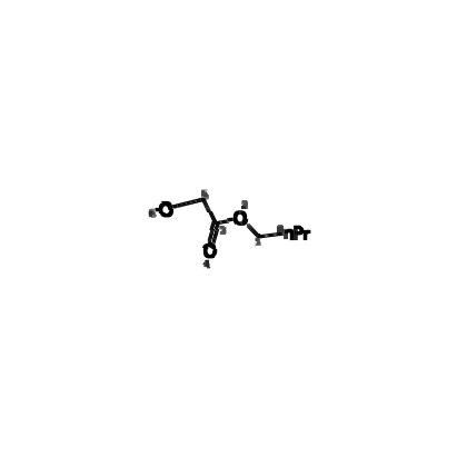 CCCCOC(=O)C[O]